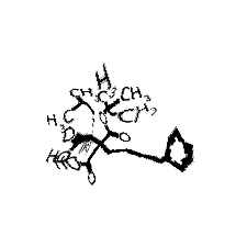 CC(C)C[C@@H](C(=O)O)C(CC=Cc1ccccc1)(C(=O)O)C(=O)OC(C)(C)C